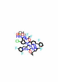 CS(=O)(=O)Nc1nn(CC(F)F)c2c(-n3c([C@H](Cc4cc(F)cc(F)c4)NC(=O)Cn4nc(C(F)F)cc4C4CC4)nc4nc(-c5ccccc5F)ccc4c3=O)ccc(Cl)c12